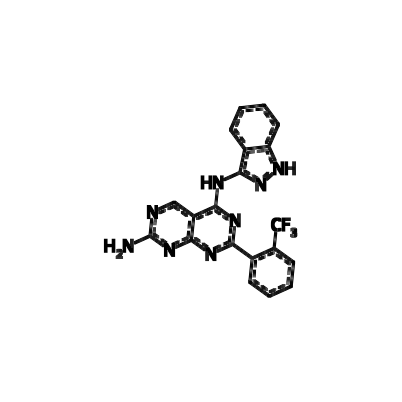 Nc1ncc2c(Nc3n[nH]c4ccccc34)nc(-c3ccccc3C(F)(F)F)nc2n1